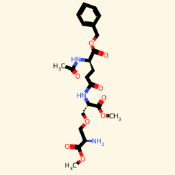 COC(=O)[C@H](N)COC[C@H](NC(=O)CC[C@@H](NC(C)=O)C(=O)OCc1ccccc1)C(=O)OC